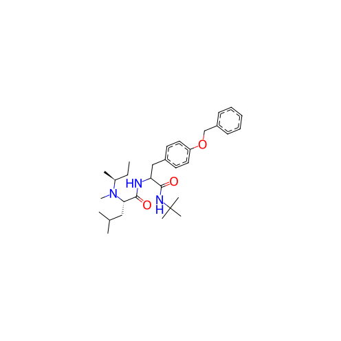 CC[C@H](C)N(C)[C@@H](CC(C)C)C(=O)NC(Cc1ccc(OCc2ccccc2)cc1)C(=O)NC(C)(C)C